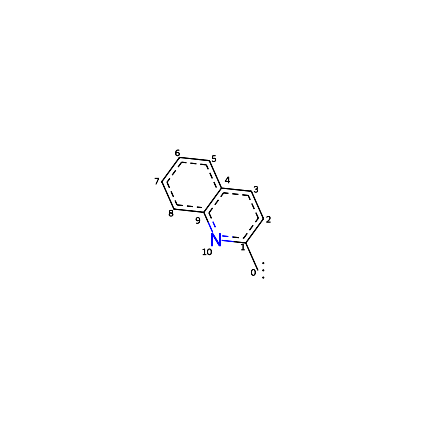 [C]c1ccc2ccccc2n1